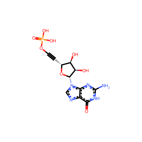 Nc1nc2c(ncn2[C@@H]2O[C@H](C#COP(=O)(O)O)[C@@H](O)[C@H]2O)c(=O)[nH]1